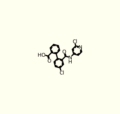 O=C(O)c1ccccc1-c1ccc(Cl)cc1C(=O)Nc1ccnc(Cl)c1